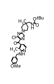 COc1ccc(CNc2nccc(C(=O)c3ncc(N4CCC(C)(CNC(=O)OC(C)(C)C)CC4)nc3Cl)c2C)cc1